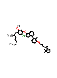 CCOc1cc(O[C@H]2CCc3c(-c4cccc(OCCCC5C[C@@]56CCCC6(C)C)c4C)cccc32)c(Cl)cc1CC(CCCC(=O)O)NC